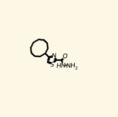 NNC(=O)c1nc(C2CCCCCCCCC2)cs1